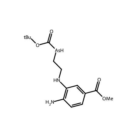 COC(=O)c1ccc(N)c(NCC[AsH]C(=O)OC(C)(C)C)c1